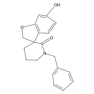 O=C1N(Cc2ccccc2)CCCC12COc1cc(O)ccc12